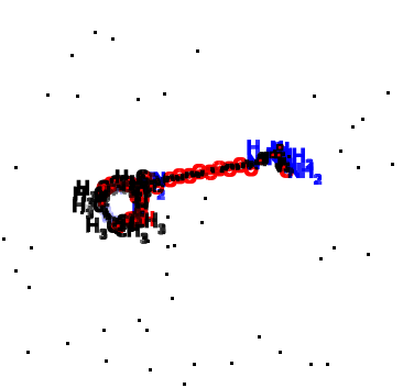 CO[C@H]1C[C@@H]2CC[C@@H](C)[C@@](O)(O2)C(=O)C(=O)N2CCCC[C@H]2C(=O)O[C@H]([C@H](N)C[C@@H]2CC[C@@H](OC(=O)NCCOCCOCCOCCOCCOCCOCCOCCOCCC(=O)NCc3ccc(Cn4nc(-c5ccc6oc(N)nc6c5)c5c(N)ncnc54)cc3)[C@H](OC)C2)C[C@@H](O)[C@H](C)/C=C(\C)[C@@H](O)[C@@H](OC)C(=O)[C@H](C)C[C@H](C)/C=C/C=C/C=C/1C